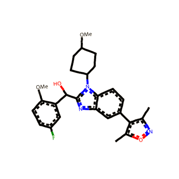 COc1ccc(F)cc1C(O)c1nc2cc(-c3c(C)noc3C)ccc2n1C1CCC(OC)CC1